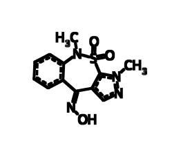 CN1c2ccccc2/C(=N/O)c2cnn(C)c2S1(=O)=O